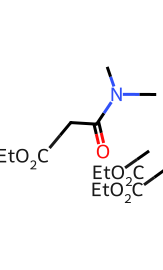 CCOC(=O)CC(=O)N(C)C.CCOC(C)=O.CCOC(C)=O